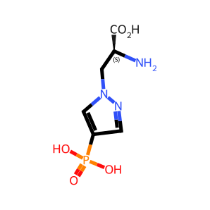 N[C@@H](Cn1cc(P(=O)(O)O)cn1)C(=O)O